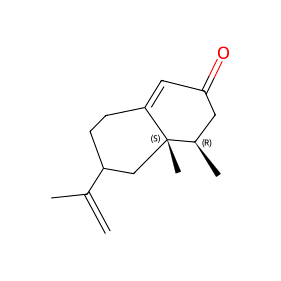 C=C(C)C1CCC2=CC(=O)C[C@@H](C)[C@]2(C)C1